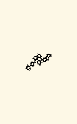 c1ccc(N(c2ccc3sc4ccccc4c3c2)c2cccc3c2c2ccccc2n3-c2ccc(-c3ccccn3)cc2)cc1